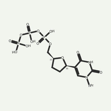 CCCn1cc([C@H]2CC[C@@H](COP(=O)(O)OP(=O)(O)OP(=O)(O)O)O2)c(=O)[nH]c1=O